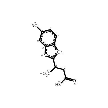 N#Cc1ccc2oc(C(CC(=O)S)C(=O)O)nc2c1